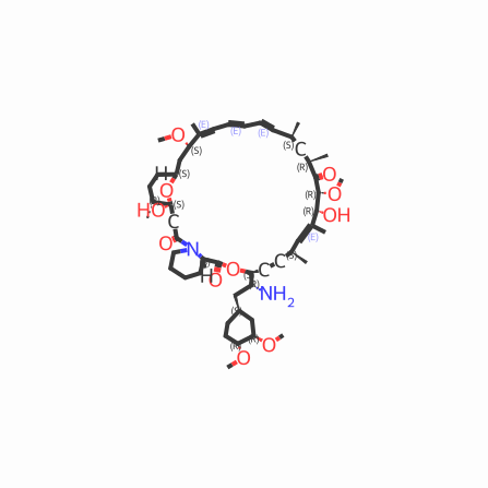 CO[C@H]1C[C@@H]2CC[C@@H](C)[C@](O)(CC(=O)N3CCCC[C@H]3C(=O)O[C@H]([C@H](N)C[C@@H]3CC[C@@H](OC)[C@H](OC)C3)CC[C@H](C)/C=C(\C)[C@@H](O)[C@@H](OC)C(=O)[C@H](C)C[C@H](C)/C=C/C=C/C=C/1C)O2